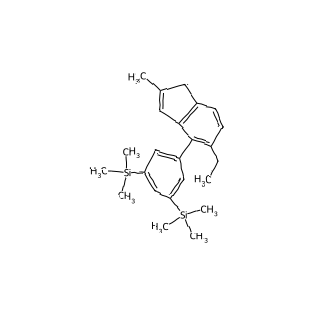 CCc1ccc2c(c1-c1cc([Si](C)(C)C)cc([Si](C)(C)C)c1)C=C(C)[CH]2